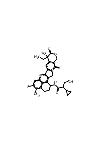 CCC1(O)C(=O)OCc2c1cc1n(c2=O)Cc2c-1nc1cc(F)c(C)c3c1c2C(NC(=O)C(CO)C1CC1)CC3